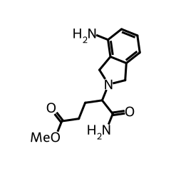 COC(=O)CCC(C(N)=O)N1Cc2cccc(N)c2C1